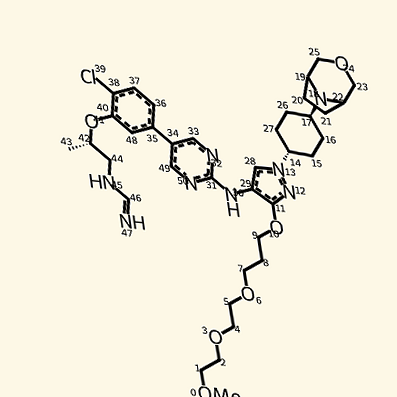 COCCOCCOCCCOc1nn([C@H]2CC[C@H](N3C4CCC3COC4)CC2)cc1Nc1ncc(-c2ccc(Cl)c(O[C@@H](C)CNC=N)c2)cn1